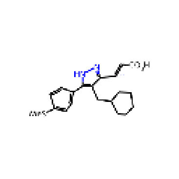 CSc1ccc(-c2[nH]nc(/C=C/C(=O)O)c2CC2CCCCC2)cc1